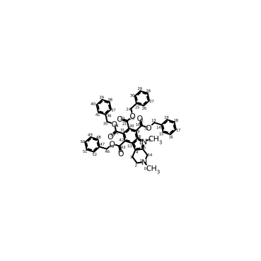 CN1CCc2c(n(C)c3c(C(=O)OCc4ccccc4)c(C(=O)OCc4ccccc4)c(C(=O)OCc4ccccc4)c(C(=O)OCc4ccccc4)c23)C1